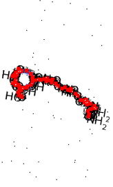 CO[C@H]1C[C@@H]2CC[C@@H](C)[C@@](O)(O2)C(=O)C(=O)N2CCCC[C@H]2C(=O)O[C@H]([C@H](C)C[C@@H]2CC[C@@H](O)[C@H](OC)C2)C[C@@H](O)[C@H](C)/C=C(\C)[C@@H](O)[C@@H](OC)/C(=N/OCC(=O)NCc2cnc(N3CCN(C(=O)CCOCCN4CCN(c5ncc(C(=O)NCCOCCC(=O)N6CCc7cc(Cn8nc(-c9ccc%10oc(N)nc%10c9)c9c(N)ncnc98)ccc7C6)cn5)CC4)CC3)nc2)[C@H](C)C[C@H](C)/C=C/C=C/C=C/1C